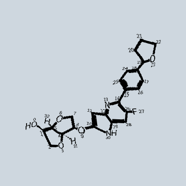 O[C@@H]1CO[C@H]2[C@@H]1OC[C@H]2Oc1cc2nc(-c3ccc(C4CCCO4)cc3)c(F)cc2[nH]1